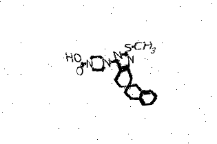 CSc1nc2c(c(N3CCN(C(=O)O)CC3)n1)CC[C@@]1(CCc3ccccc3C1)C2